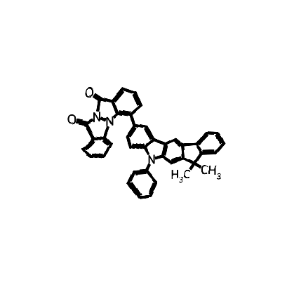 CC1(C)c2ccccc2-c2cc3c4cc(-c5cccc6c(=O)n7c(=O)c8ccccc8n7c56)ccc4n(-c4ccccc4)c3cc21